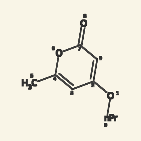 CCCOc1cc(C)oc(=O)c1